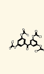 O=C(Cl)Oc1cc(OC(=O)Cl)cc(C(=O)c2cc(OC(=O)Cl)cc(OC(=O)Cl)c2)c1